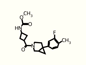 COC(=O)NC1CC(C(=O)N2CCC3(c4ccc(C)c(F)c4)CC3C2)C1